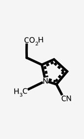 Cn1c(C#N)ccc1CC(=O)O